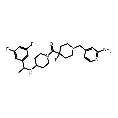 CC(NC1CCN(C(=O)C2(F)CCN(Cc3ccnc(N)c3)CC2)CC1)c1cc(F)cc(F)c1